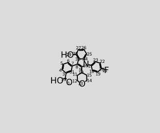 O=C(O)c1cccc(-c2c(C3CCOCC3)n(-c3ccc(F)cc3)c3cccc(O)c23)c1